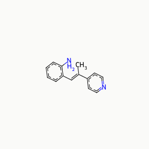 CC(=Cc1ccccc1N)c1ccncc1